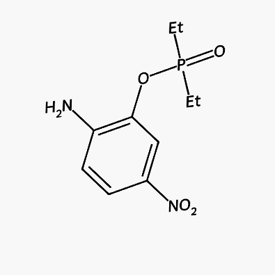 CCP(=O)(CC)Oc1cc([N+](=O)[O-])ccc1N